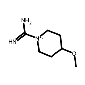 COC1CC[N+](C(=N)N)CC1